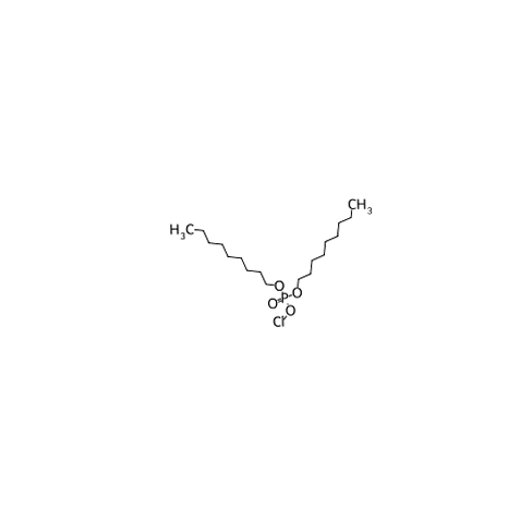 CCCCCCCCCOP(=O)(OCl)OCCCCCCCCC